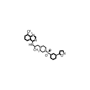 CC(CN1CCN(S(=O)(=O)c2cccc(-c3ccno3)c2)CC1)Nc1ncnc2c(C(F)(F)F)cccc12